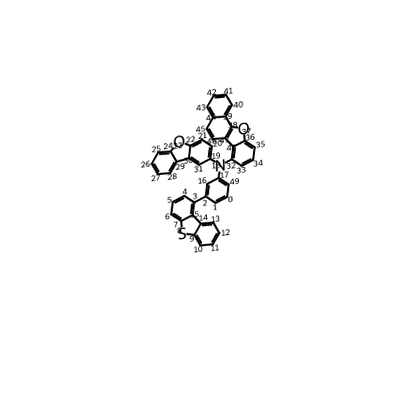 c1cc(-c2cccc3sc4ccccc4c23)cc(N(c2ccc3oc4ccccc4c3c2)c2cccc3oc4c5ccccc5ccc4c23)c1